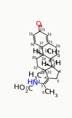 CC(NC(=O)O)=C1CC[C@H]2[C@@H]3CCC4=CC(=O)C=C[C@]4(C)[C@H]3CC[C@]12C